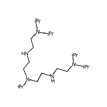 CC(C)N(CCNCCN(C(C)C)C(C)C)CCNCCN(C(C)C)C(C)C